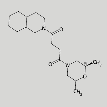 CC1CN(C(=O)CCC(=O)N2CCC3CCCCC3C2)C[C@@H](C)O1